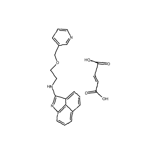 O=C(O)C=CC(=O)O.c1cncc(COCCNC2=Nc3cccc4cccc2c34)c1